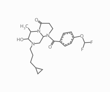 CC1C(O)N(CCCC2CC2)CC2N(C(=O)c3ccc(OC(F)F)cc3)CCC(=O)N12